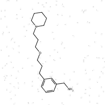 NCc1cccc(CCCOCCCN2CCCCC2)c1